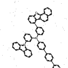 c1ccc(-c2ccc(-c3ccc(N(c4cccc(-c5cccc6oc7c8ccccc8ccc7c56)c4)c4cccc(-n5c6ccccc6c6ccccc65)c4)cc3)cc2)cc1